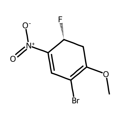 COC1=C(Br)C=C([N+](=O)[O-])[C@H](F)C1